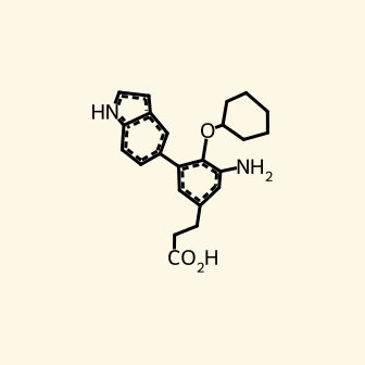 Nc1cc(CCC(=O)O)cc(-c2ccc3[nH]ccc3c2)c1OC1CCCCC1